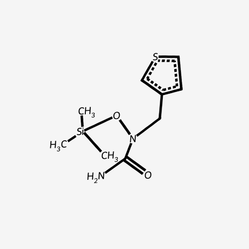 C[Si](C)(C)ON(Cc1ccsc1)C(N)=O